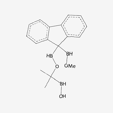 COBC1(BOC(C)(C)BO)c2ccccc2-c2ccccc21